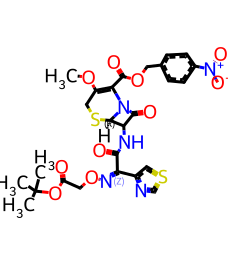 COC1=C(C(=O)OCc2ccc([N+](=O)[O-])cc2)N2C(=O)C(NC(=O)/C(=N\OCC(=O)OC(C)(C)C)c3cscn3)[C@H]2SC1